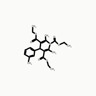 CCOC(=O)C1=C(C)N(C(=O)OCC)C(C)=C(C(=O)OCC)C1c1cccc(C)c1